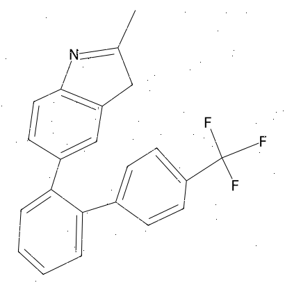 CC1=Nc2ccc(-c3ccccc3-c3ccc(C(F)(F)F)cc3)cc2C1